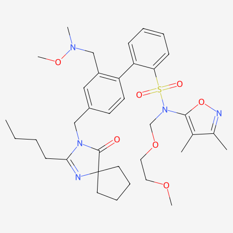 CCCCC1=NC2(CCCC2)C(=O)N1Cc1ccc(-c2ccccc2S(=O)(=O)N(COCCOC)c2onc(C)c2C)c(CN(C)OC)c1